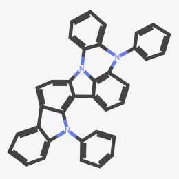 c1ccc(N2c3ccccc3-n3c4ccc5c6ccccc6n(-c6ccccc6)c5c4c4cccc2c43)cc1